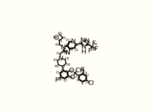 CC1(c2ccc(Cl)cc2F)Oc2cc(F)cc(C3CCN(Cc4nc5cc(-c6nnc(C(F)(F)F)[nH]6)ncc5n4CC4CCO4)CC3)c2O1